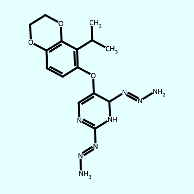 CC(C)c1c(OC2=CN=C(N=NN)NC2N=NN)ccc2c1OCCO2